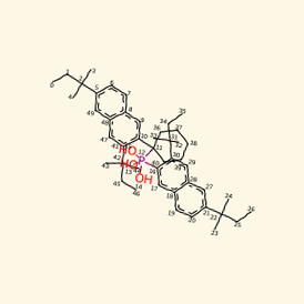 CCC(C)(C)c1ccc2cc(C3(P(O)(O)(O)c4cc5ccc(C(C)(C)CC)cc5cc4C(C)(C)CC)CCCCC3)c(C(C)(C)CC)cc2c1